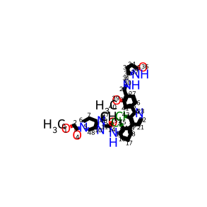 COCC(=O)N1CCc2c(nc(C(=O)Nc3cccc(-c4ccnc(-c5ccc(CNC[C@@H]6CCC(=O)N6)c(OC)c5)c4Cl)c3Cl)n2C)C1